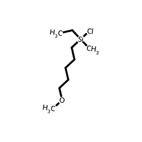 CC[Si](C)(Cl)CCCCCOC